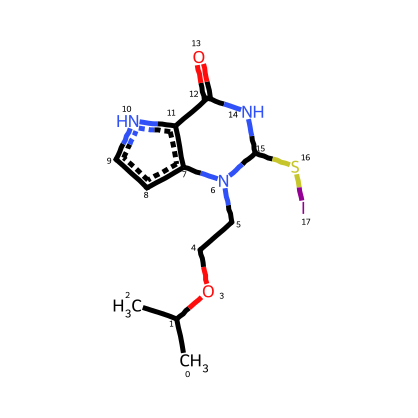 CC(C)OCCN1c2cc[nH]c2C(=O)NC1SI